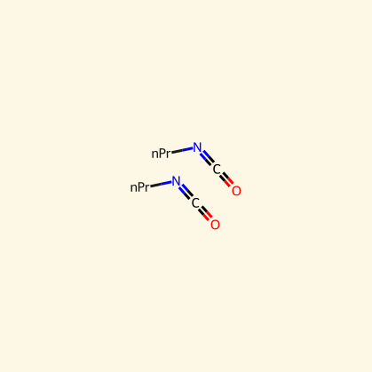 CCCN=C=O.CCCN=C=O